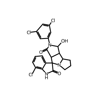 O=C1C2C(C(O)N1c1cc(Cl)cc(Cl)c1)C1CCCN1C21C(=O)Nc2c(Cl)cccc21